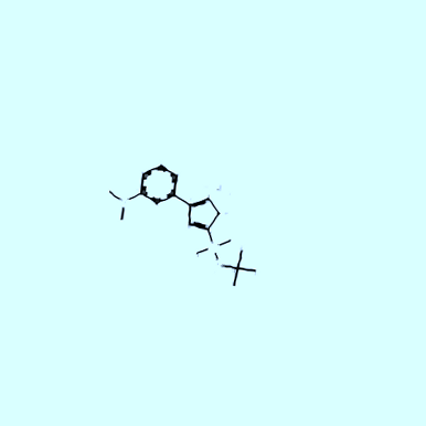 CN(C)c1cccc(C2=CC[C]([Ti]([CH3])([CH3])[NH]C(C)(C)C)=C2)c1.[SiH4]